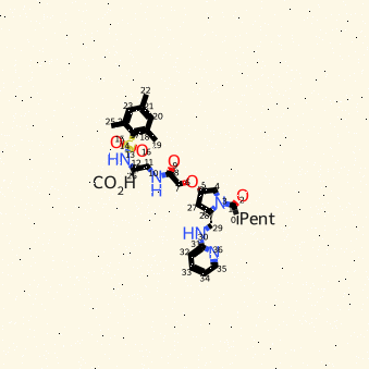 CCCC(C)C(=O)N1C[C@H](OCC(=O)NC[C@H](NS(=O)(=O)c2c(C)cc(C)cc2C)C(=O)O)C[C@H]1CNc1ccccn1